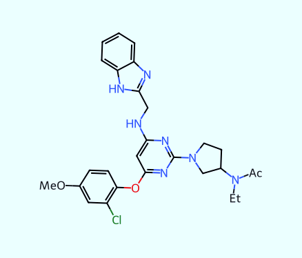 CCN(C(C)=O)C1CCN(c2nc(NCc3nc4ccccc4[nH]3)cc(Oc3ccc(OC)cc3Cl)n2)C1